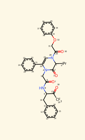 CC(C)C1C(=O)N(CC(=O)NC(Cc2ccccc2)C(=O)C(F)(F)F)C(c2ccccc2)=CN1C(=O)COc1ccccc1